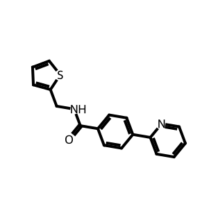 O=C(NCc1cccs1)c1ccc(-c2ccccn2)cc1